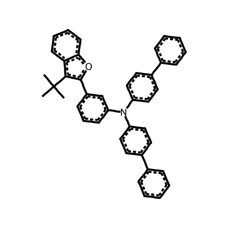 CC(C)(C)c1c(-c2cccc(N(c3ccc(-c4ccccc4)cc3)c3ccc(-c4ccccc4)cc3)c2)oc2ccccc12